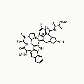 CCC(NC(=O)C(C)NC)C(=O)N1CCCC1Cc1c(-c2[nH]c3cc(F)ccc3c2CC2CC(O)CN2C(O)C(CC)NC(=O)C(C)NC)[nH]c2c1ccc1ccccc12